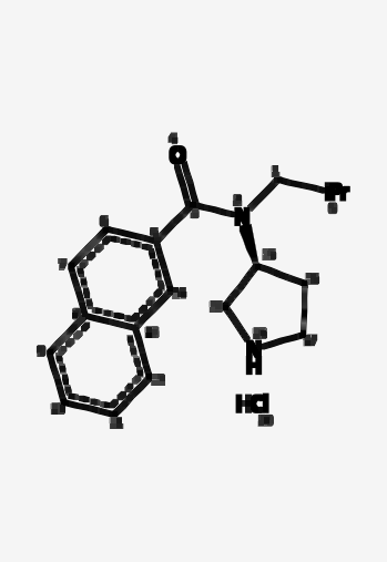 CC(C)CN(C(=O)c1ccc2ccccc2c1)[C@H]1CCNC1.Cl